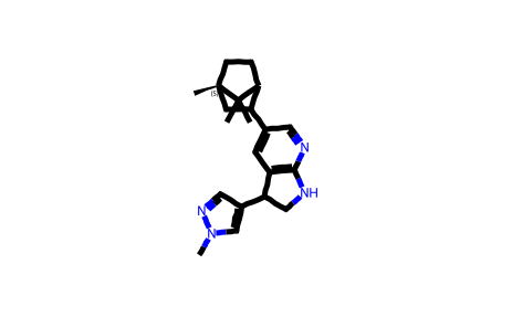 Cn1cc(C2CNc3ncc(C4C[C@]5(C)CCC4C5(C)C)cc32)cn1